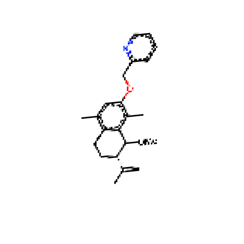 C=C(C)[C@@H]1CCc2c(C)cc(OCc3ccccn3)c(C)c2C1OC